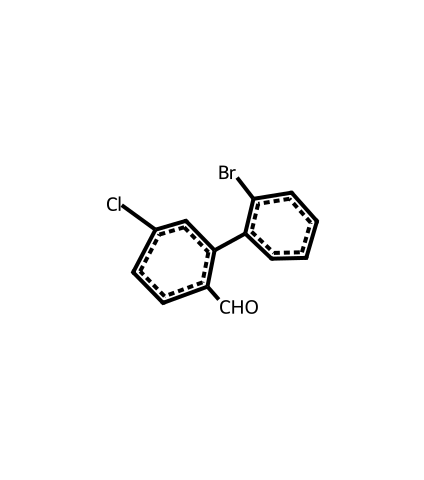 O=Cc1ccc(Cl)cc1-c1ccccc1Br